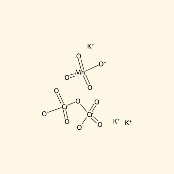 [K+].[K+].[K+].[O]=[Cr](=[O])([O-])[O][Cr](=[O])(=[O])[O-].[O]=[Mn](=[O])(=[O])[O-]